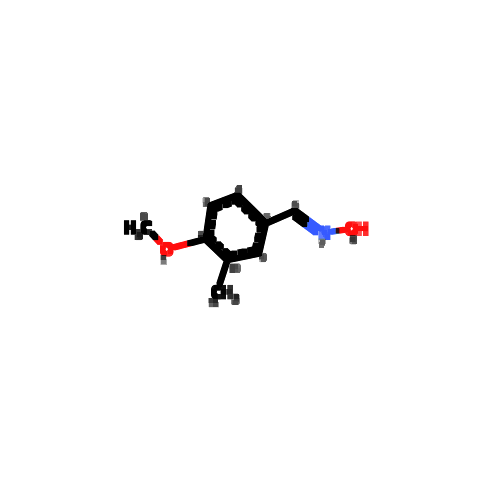 COc1ccc(/C=N/O)cc1C